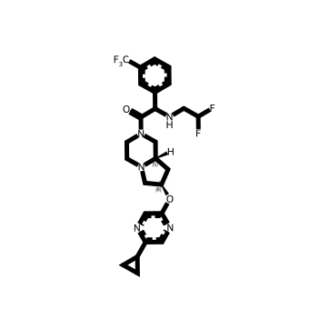 O=C(C(NCC(F)F)c1cccc(C(F)(F)F)c1)N1CCN2C[C@H](Oc3cnc(C4CC4)cn3)C[C@H]2C1